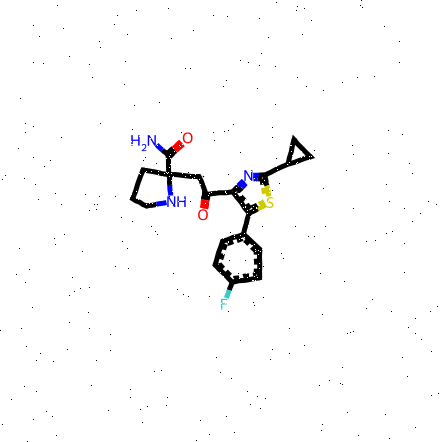 NC(=O)C1([CH]C(=O)c2nc(C3CC3)sc2-c2ccc(F)cc2)CCCN1